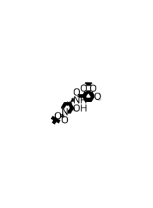 COc1ccc(C(=O)NC[C@@H]2CCN(C(=O)OC(C)(C)C)C[C@H]2O)c2c1OCCO2